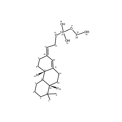 CC1(C)CCCC2[C@@H]3CC/C(=C/CO[PH](O)(O)OPO)C=C3CC[C@@H]21